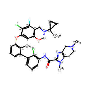 CCOc1cc(Oc2cccc(-c3cccc(NC(=O)c4nc5c(n4C)CCN(C)C5)c3Cl)c2C)c(Cl)c(F)c1CNC1(C(=O)O)CC1